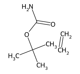 C=C.CC(C)(C)OC(N)=O